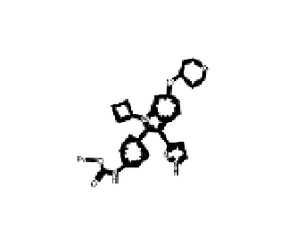 CC(C)OC(=O)Nc1ccc(-c2c(-c3cc[nH]n3)c3ccc(OC4CCOCC4)cc3n2C2CCC2)cc1